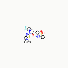 COc1ccc2nc(NC(=O)C(CC3CCC(F)(F)CC3)c3ccc4c(c3)Nc3ccccc3S4(=O)=O)sc2n1